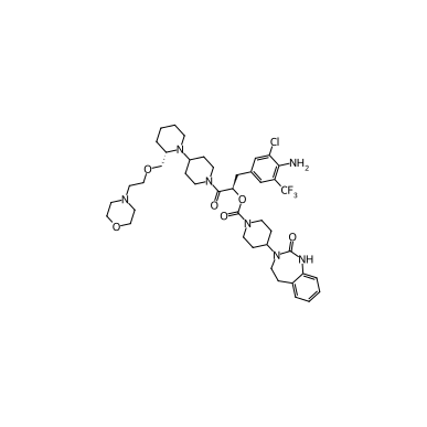 Nc1c(Cl)cc(C[C@@H](OC(=O)N2CCC(N3CCc4ccccc4NC3=O)CC2)C(=O)N2CCC(N3CCCC[C@H]3COCCN3CCOCC3)CC2)cc1C(F)(F)F